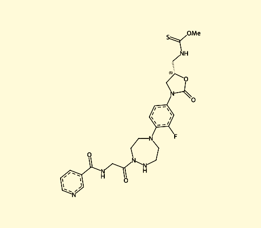 COC(=S)NC[C@H]1CN(c2ccc(N3CCNN(C(=O)CNC(=O)c4cccnc4)CC3)c(F)c2)C(=O)O1